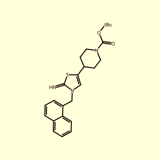 CC(C)(C)OC(=O)N1CCC(c2cn(Cc3cccc4ccccc34)c(=N)s2)CC1